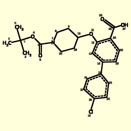 CC(C)(C)OC(=O)N1CCC(Oc2cc(-c3ccc(Cl)cc3)ccc2C(=O)O)CC1